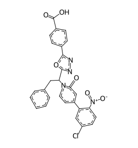 O=C(O)c1ccc(-c2nnc(C(Cc3ccccc3)n3ccc(-c4cc(Cl)ccc4[N+](=O)[O-])cc3=O)o2)cc1